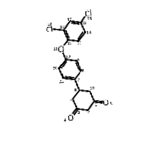 O=C1CC(=O)CC(c2ccc(Oc3ccc(Cl)cc3Cl)cc2)C1